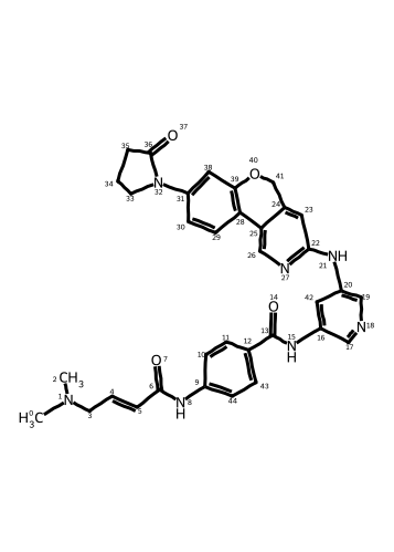 CN(C)CC=CC(=O)Nc1ccc(C(=O)Nc2cncc(Nc3cc4c(cn3)-c3ccc(N5CCCC5=O)cc3OC4)c2)cc1